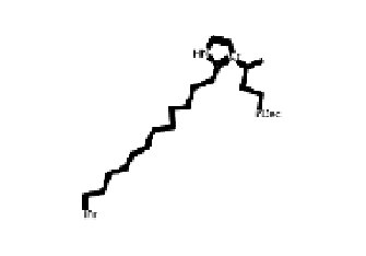 CCCCCCCCCCCCC(C)[n+]1cc[nH]c1CCCCCCCCCCCCC(C)C